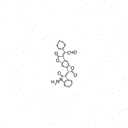 NN1C(=O)/C(=C2/C(=O)Oc3cc4c(cc32)OC(=O)/C4=C(/C=O)c2ccccc2)c2ccccc21